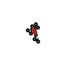 c1ccc(-c2ccccc2-c2c(-c3ccccc3)cccc2N(c2cccc(-c3cccc4c3oc3ccccc34)c2)c2ccc3c(c2)-c2ccccc2C3(c2ccccc2)c2ccccc2)cc1